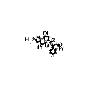 Cc1cc([C@H](C(=O)N2C[C@H](O)C[C@H]2C(=O)N[C@@H](CC(=O)C(C)C)c2ccccc2)C(C)C)on1